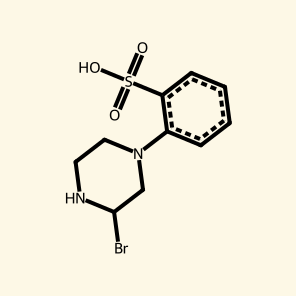 O=S(=O)(O)c1ccccc1N1CCNC(Br)C1